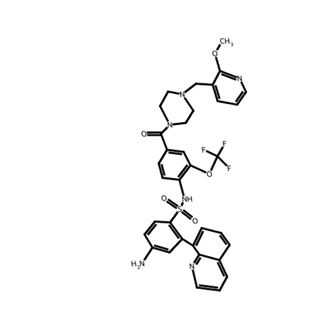 COc1ncccc1CN1CCN(C(=O)c2ccc(NS(=O)(=O)c3ccc(N)cc3-c3cccc4cccnc34)c(OC(F)(F)F)c2)CC1